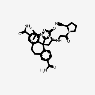 CC(C)n1oc(=O)nc1C1(C[C@@H](C)NCC(=O)N2CCCC2C#N)c2ccc(C(N)=O)cc2CCc2cc(C(N)=O)ccc21